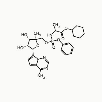 C[C@H](NP(=O)(OC[C@@]1(C)O[C@@H](c2ccc3c(N)ncnn23)[C@H](O)[C@@H]1O)Oc1ccccc1)C(=O)OC1CCCCC1